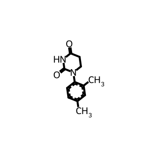 Cc1ccc(N2CCC(=O)NC2=O)c(C)c1